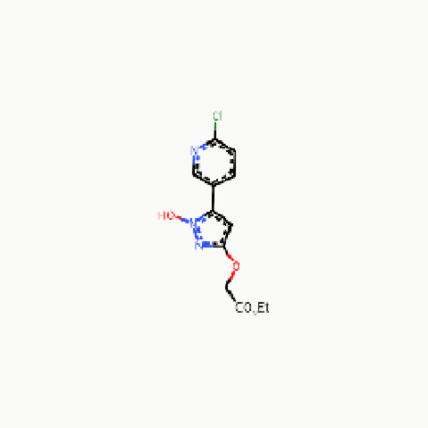 CCOC(=O)COc1cc(-c2ccc(Cl)nc2)n(O)n1